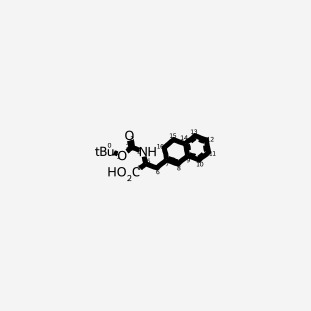 CC(C)(C)OC(=O)NC(CC1=Cc2ccccc2CC1)C(=O)O